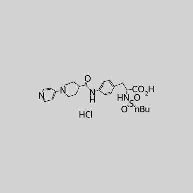 CCCCS(=O)(=O)NC(Cc1ccc(NC(=O)C2CCN(c3ccncc3)CC2)cc1)C(=O)O.Cl